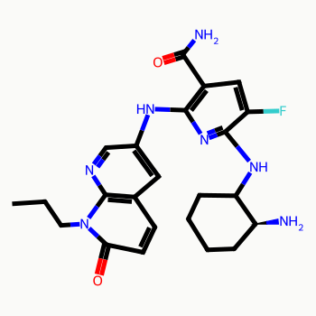 CCCn1c(=O)ccc2cc(Nc3nc(NC4CCCC[C@@H]4N)c(F)cc3C(N)=O)cnc21